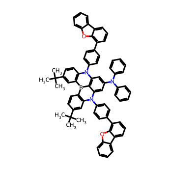 CC(C)(C)c1ccc2c(c1)B1c3ccc(C(C)(C)C)cc3N(c3ccc(-c4cccc5c4oc4ccccc45)cc3)c3cc(N(c4ccccc4)c4ccccc4)cc(c31)N2c1ccc(-c2cccc3c2oc2ccccc23)cc1